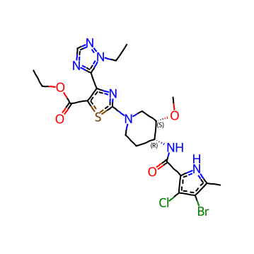 CCOC(=O)c1sc(N2CC[C@@H](NC(=O)c3[nH]c(C)c(Br)c3Cl)[C@@H](OC)C2)nc1-c1ncnn1CC